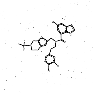 O=C(c1cc(Cl)cc2cc[nH]c12)N(CCc1ccc(Cl)c(Cl)c1)Cc1cc2c(s1)CC(C(F)(F)F)CC2